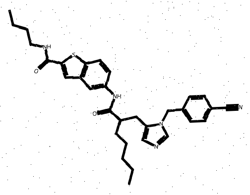 CCCCCC(Cc1cncn1Cc1ccc(C#N)cc1)C(=O)Nc1ccc2sc(C(=O)NCCCC)cc2c1